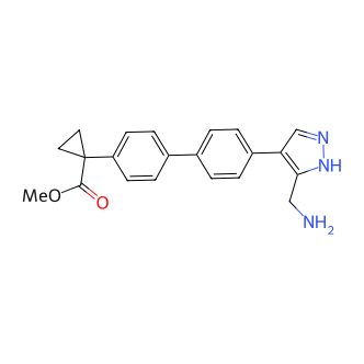 COC(=O)C1(c2ccc(-c3ccc(-c4cn[nH]c4CN)cc3)cc2)CC1